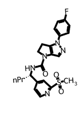 CCC[C@H](NC(=O)N1CCc2c1cnn2-c1ccc(F)cc1)c1ccnc(S(C)(=O)=O)c1